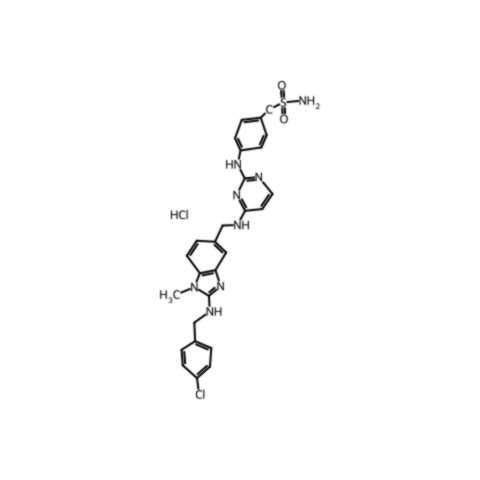 Cl.Cn1c(NCc2ccc(Cl)cc2)nc2cc(CNc3ccnc(Nc4ccc(CS(N)(=O)=O)cc4)n3)ccc21